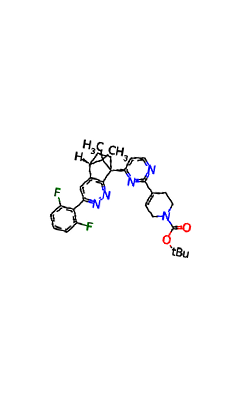 CC(C)(C)OC(=O)N1CC=C(c2nccc([C@@]34CC[C@@H](c5cc(-c6c(F)cccc6F)nnc53)C4(C)C)n2)CC1